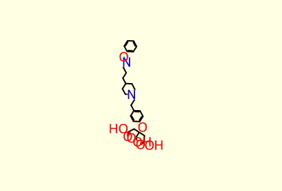 O=C(O)CC(CC(=O)O)(Oc1ccc(CCN2CCC(CC/C=N/Oc3ccccc3)CC2)cc1)C(=O)O